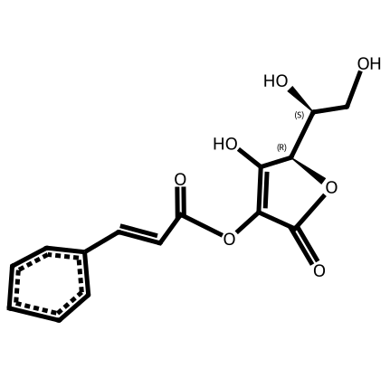 O=C(C=Cc1ccccc1)OC1=C(O)[C@@H]([C@@H](O)CO)OC1=O